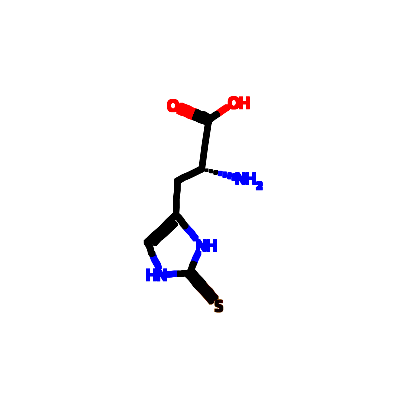 N[C@H](Cc1c[nH]c(=S)[nH]1)C(=O)O